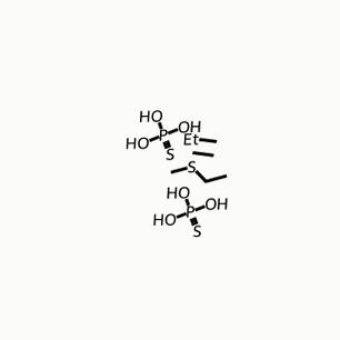 CC.CCC.CCSC.OP(O)(O)=S.OP(O)(O)=S